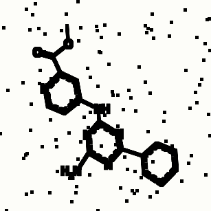 COC(=O)c1cc(Nc2nc(N)nc(-c3ccccc3)n2)ccn1